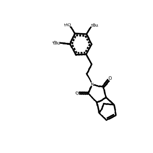 CC(C)(C)c1cc(CCN2C(=O)C3C4C=CC(C4)C3C2=O)cc(C(C)(C)C)c1O